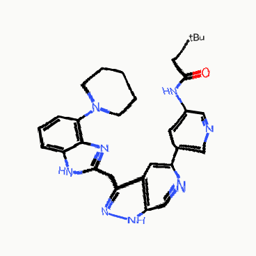 CC(C)(C)CC(=O)Nc1cncc(-c2cc3c(-c4nc5c(N6CCCCC6)cccc5[nH]4)n[nH]c3cn2)c1